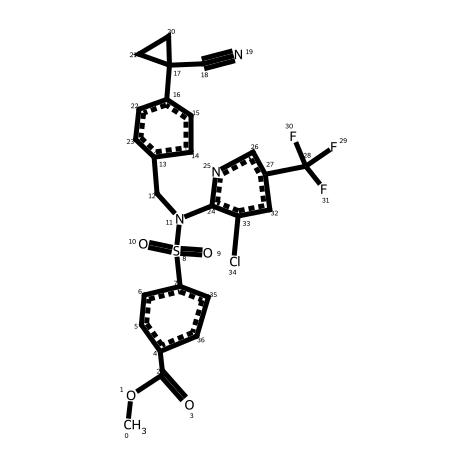 COC(=O)c1ccc(S(=O)(=O)N(Cc2ccc(C3(C#N)CC3)cc2)c2ncc(C(F)(F)F)cc2Cl)cc1